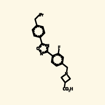 CC(C)Cc1ccc(-c2nc(-c3ccc(CN4CC(C(=O)O)C4)cc3F)no2)cc1